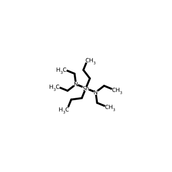 CC[CH2][Sn]([CH2]CC)([N](CC)CC)[N](CC)CC